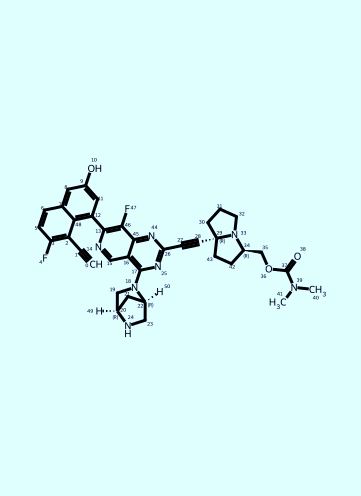 C#Cc1c(F)ccc2cc(O)cc(-c3ncc4c(N5C[C@H]6C[C@@H]5CN6)nc(C#C[C@]56CCCN5[C@@H](COC(=O)N(C)C)CC6)nc4c3F)c12